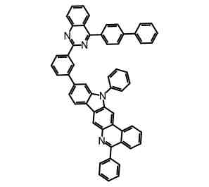 c1ccc(-c2ccc(-c3nc(-c4cccc(-c5ccc6c7cc8nc(-c9ccccc9)c9ccccc9c8cc7n(-c7ccccc7)c6c5)c4)nc4ccccc34)cc2)cc1